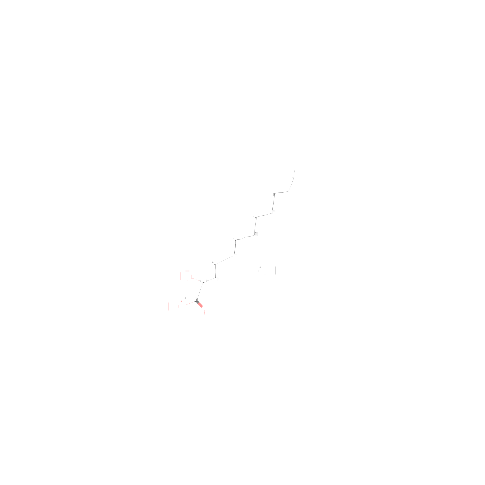 CCCCCCCCCCC(O)C(=O)O.[AlH3]